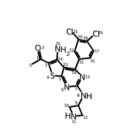 CC(=O)c1sc2nc(NC3CNC3)nc(-c3ccc(Cl)c(Cl)c3)c2c1N